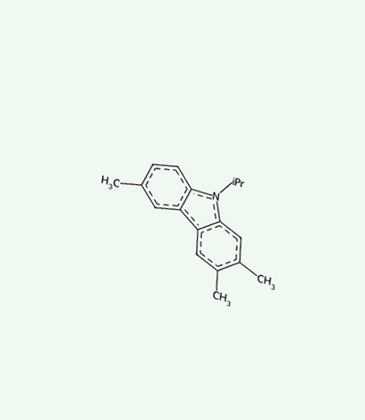 Cc1ccc2c(c1)c1cc(C)c(C)cc1n2C(C)C